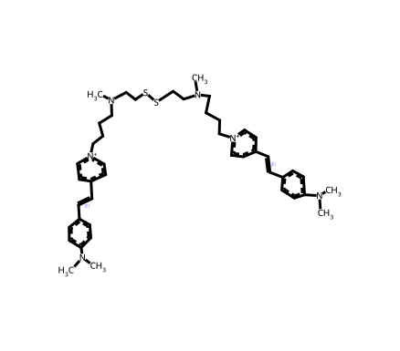 CN(CCCC[n+]1ccc(/C=C/c2ccc(N(C)C)cc2)cc1)CCSSCCN(C)CCCC[n+]1ccc(/C=C/c2ccc(N(C)C)cc2)cc1